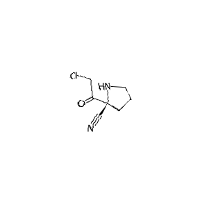 N#C[C@]1(C(=O)CCl)CCCN1